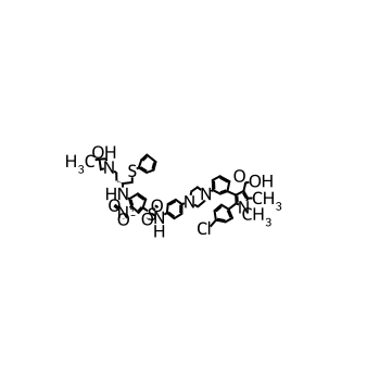 Cc1c(C(=O)O)c(-c2cccc(N3CCN(c4ccc(NS(=O)(=O)c5ccc(N[C@H](CCN6CC(C)(O)C6)CSc6ccccc6)c([N+](=O)[O-])c5)cc4)CC3)c2)c(-c2ccc(Cl)cc2)n1C